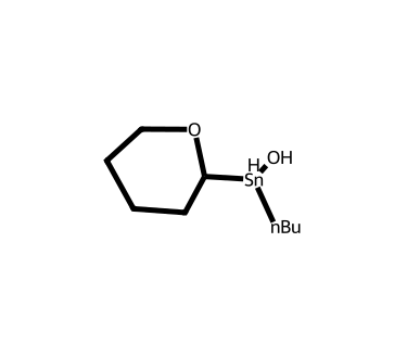 CCC[CH2][SnH]([OH])[CH]1CCCCO1